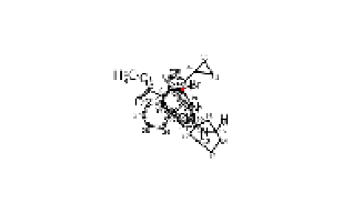 COC(=O)c1cc(Br)c2nc(N3C4CC[C@H]3CC(OCc3c(-c5ccccc5C)noc3C3CC3)C4)sc2c1